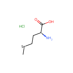 C[Se]CC[C@H](N)C(=O)O.Cl